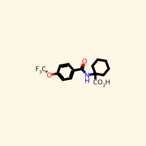 O=C(NC1(C(=O)O)CCCCC1)c1ccc(OC(F)(F)F)cc1